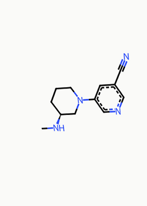 CN[C@H]1CCCN(c2cncc(C#N)c2)C1